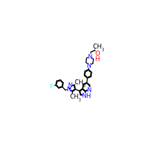 Cc1nn(Cc2cccc(F)c2)c(C)c1-c1c[nH]c2ncc(-c3ccc(N4CCN(C[C@H](C)O)CC4)cc3)cc12